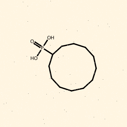 O=P(O)(O)C1CCCCCCCCCCC1